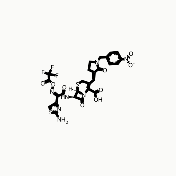 Nc1nc(/C(=N/OC(=O)C(F)(F)F)C(=O)N[C@@H]2C(=O)N3C(C(=O)O)=C(/C=C4\CCN(Cc5ccc([N+](=O)[O-])cc5)C4=O)CS[C@H]23)cs1